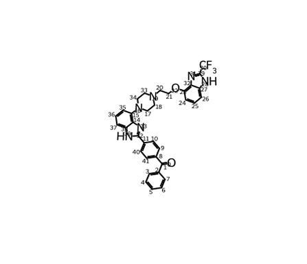 O=C(c1ccccc1)c1ccc(-c2nc3c(N4CCN(CCOc5cccc6[nH]c(C(F)(F)F)nc56)CC4)cccc3[nH]2)cc1